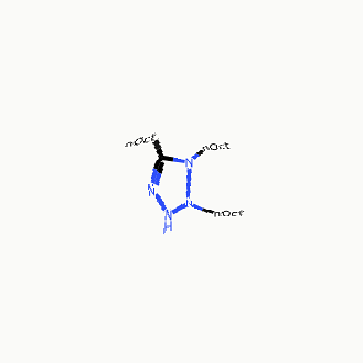 CCCCCCCCC1=NNN(CCCCCCCC)N1CCCCCCCC